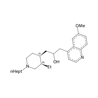 CCCCCCCN1CC[C@@H](CC(O)Cc2ccnc3ccc(OC)cc23)[C@@H](CC)C1